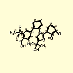 CC(C)(O)c1cn(-c2ccccc2-c2ccc(CO)c(S(C)(=O)=O)c2)c(-c2cccc(Cl)c2Cl)n1